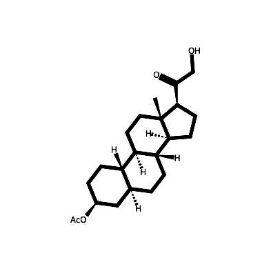 CC(=O)O[C@H]1CC[C@H]2[C@@H](CC[C@@H]3[C@@H]2CC[C@]2(C)[C@@H](C(=O)CO)CC[C@@H]32)C1